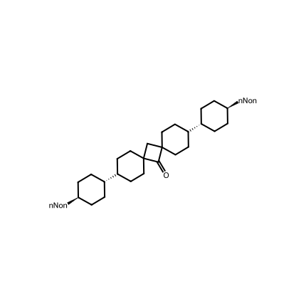 CCCCCCCCC[C@H]1CC[C@H](C2CCC3(CC2)CC2(CCC([C@H]4CC[C@H](CCCCCCCCC)CC4)CC2)C3=O)CC1